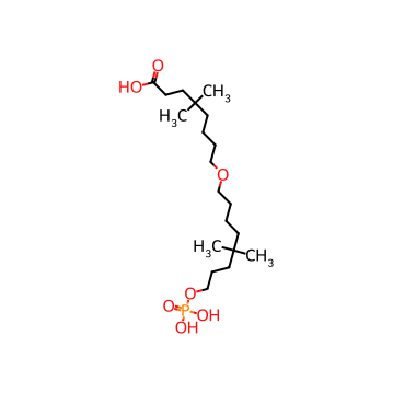 CC(C)(CCCCOCCCCC(C)(C)CCC(=O)O)CCCOP(=O)(O)O